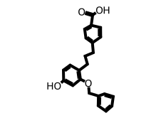 O=C(O)c1ccc(CCCc2ccc(O)cc2OCc2ccccc2)cc1